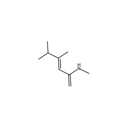 C=C(/C=C(\C)C(C)C)NC